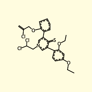 C=C(Cl)COc1ccccc1-c1cn(CC(Cl)Cl)cc(-c2ccc(OCC)cc2OCC)c1=S